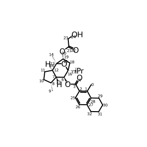 Cc1c(C(=O)O[C@H]2[C@@H]3[C@H](C)CC[C@H]3[C@]3(C)O[C@@]2(C(C)C)C[C@H]3OC(=O)CO)ccc2c1CCCC2